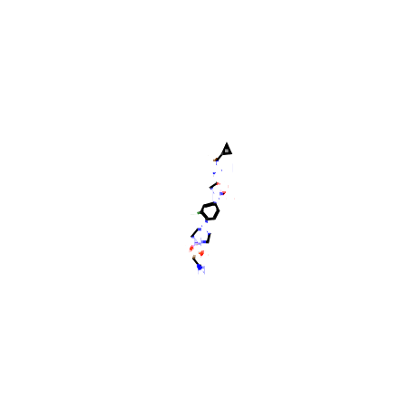 N#CCS(=O)(=O)N1CCN(c2ccc(N3C[C@H](CNC(=S)C4CC4)OC3=O)cc2F)CC1